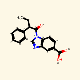 CCC(C(=O)n1cnc2cc(C(=O)O)ccc21)c1ccccc1